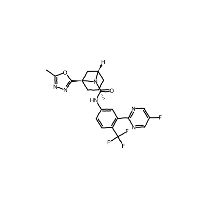 Cc1nnc([C@@]23C[C@@H](C)C[C@@H](C2)N3C(=O)Nc2ccc(C(F)(F)F)c(-c3ncc(F)cn3)c2)o1